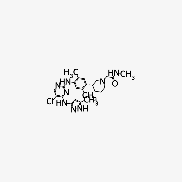 CNC(=O)CN1CCC[C@H](c2cc(C)c(Nc3ncc(Cl)c(Nc4cc(C)[nH]n4)n3)cc2C)C1